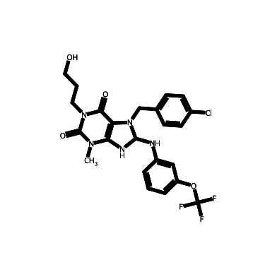 Cn1c2c(c(=O)n(CCCO)c1=O)N(Cc1ccc(Cl)cc1)C(Nc1cccc(OC(F)(F)F)c1)N2